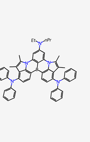 CCCN(CC)c1cc2c3c(c1)-n1c(C)c(C)c4c(N(c5ccccc5)c5ccccc5)ccc(c41)B3c1ccc(N(c3ccccc3)c3ccccc3)c3c(C)c(C)n-2c13